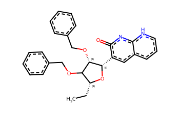 CC[C@H]1O[C@@H](c2cc3ccc[nH]c-3nc2=O)[C@@H](OCc2ccccc2)C1OCc1ccccc1